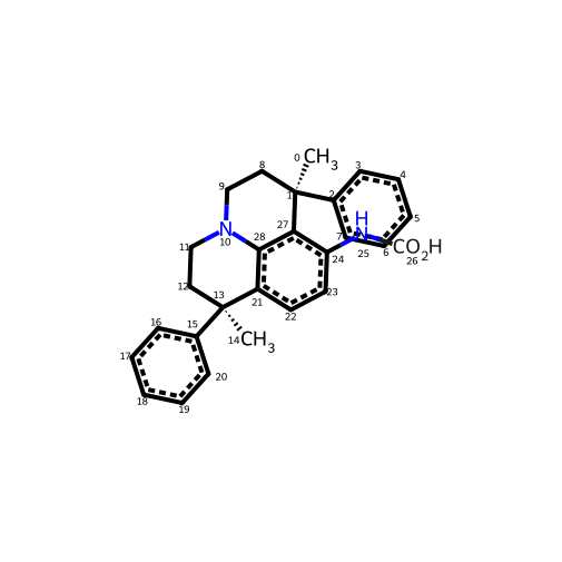 C[C@@]1(c2ccccc2)CCN2CC[C@](C)(c3ccccc3)c3ccc(NC(=O)O)c1c32